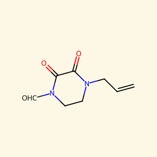 C=CCN1CCN(C=O)C(=O)C1=O